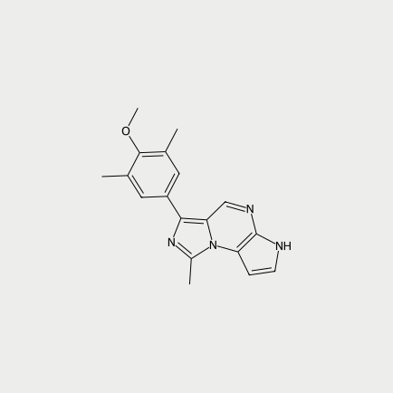 COc1c(C)cc(-c2nc(C)n3c2cnc2[nH]ccc23)cc1C